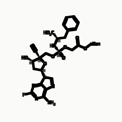 C#C[C@]1(CO[P@](=O)(N[C@@H](Cc2ccccc2)C(=O)O)OCC(=O)OCCCCCCCCC)O[C@@H](n2cnc3c(N)nc(F)nc32)C[C@@H]1O